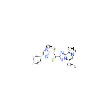 Cc1ncc(C)n2nc(C(F)C(F)c3nc(-c4ccccc4)cn3C)nc12